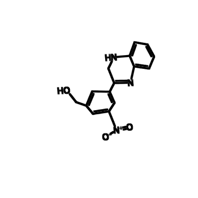 O=[N+]([O-])c1cc(CO)cc(C2=Nc3ccccc3NC2)c1